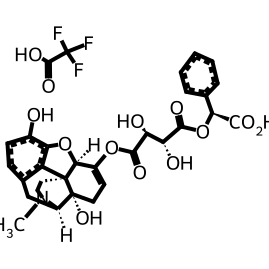 CN1CC[C@]23c4c5ccc(O)c4O[C@H]2C(OC(=O)[C@H](O)[C@@H](O)C(=O)O[C@H](C(=O)O)c2ccccc2)=CC[C@@]3(O)[C@H]1C5.O=C(O)C(F)(F)F